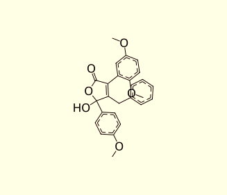 COc1ccc(C2(O)OC(=O)C(c3cc(OC)ccc3OC)=C2Cc2ccccc2)cc1